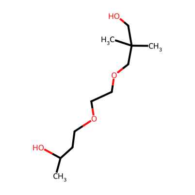 CC(O)CCOCCOCC(C)(C)CO